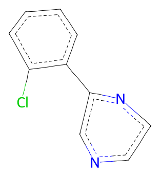 Clc1ccccc1-c1cnccn1